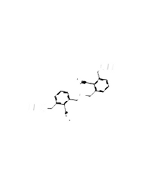 CCc1cccc(COCc2cccc(CC)c2C#N)c1C#N